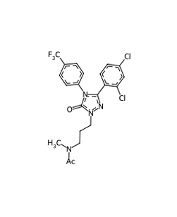 CC(=O)N(C)CCCn1nc(-c2ccc(Cl)cc2Cl)n(-c2ccc(C(F)(F)F)cc2)c1=O